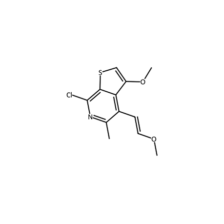 COC=Cc1c(C)nc(Cl)c2scc(OC)c12